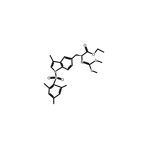 CCOC(=O)[C@H](Cc1ccc2c(c1)c(C)cn2S(=O)(=O)c1c(C)cc(C)cc1C)N=C(SC)SC